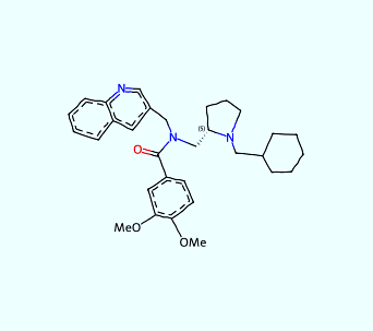 COc1ccc(C(=O)N(Cc2cnc3ccccc3c2)C[C@@H]2CCCN2CC2CCCCC2)cc1OC